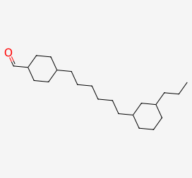 CCCC1CCCC(CCCCCCC2CCC(C=O)CC2)C1